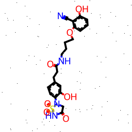 N#Cc1c(O)cccc1OCCCCNC(=O)CCc1ccc(N2CC(=O)NS2(=O)=O)c(O)c1